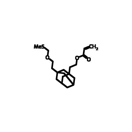 C=CC(=O)OCCC12CC3CC(CC(CCOCSC)(C3)C1)C2